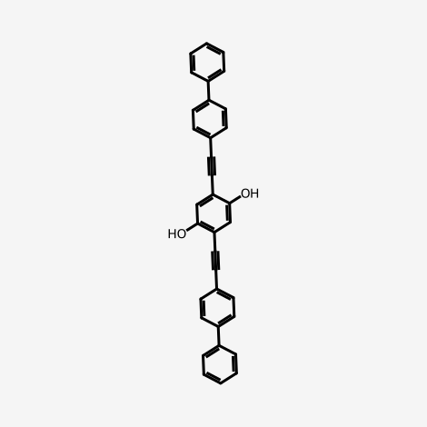 Oc1cc(C#Cc2ccc(-c3ccccc3)cc2)c(O)cc1C#Cc1ccc(-c2ccccc2)cc1